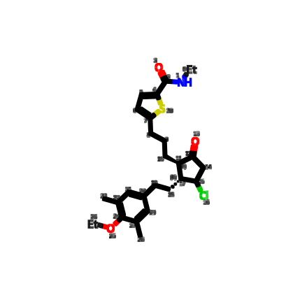 CCNC(=O)c1ccc(CCC[C@H]2C(=O)CC(Cl)[C@@H]2CCc2cc(C)c(OCC)c(C)c2)s1